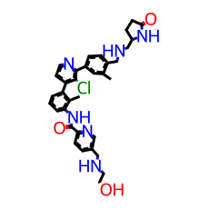 Cc1cc(-c2nccc(-c3cccc(NC(=O)c4ccc(CNCCO)cn4)c3C)c2Cl)ccc1CNCC1CCC(=O)N1